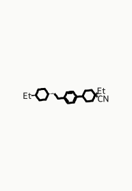 CCC1(C#N)CCC(c2ccc(CC[C@H]3CC[C@H](CC)CC3)cc2)CC1